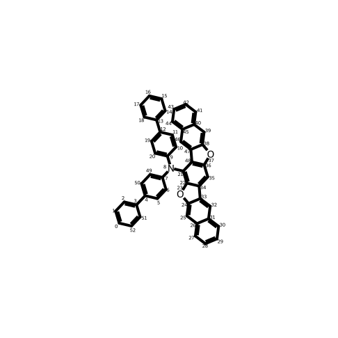 c1ccc(-c2ccc(N(c3ccc(-c4ccccc4)cc3)c3c4oc5cc6ccccc6cc5c4cc4oc5cc6ccccc6cc5c34)cc2)cc1